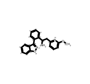 COc1cccc(CC(N)c2ccccc2-c2noc3ccccc23)n1